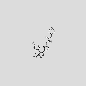 CC(C)(C)n1ncc(-c2nc(CNC(=O)CC3CCOCC3)cs2)c1-c1ccc(F)cc1